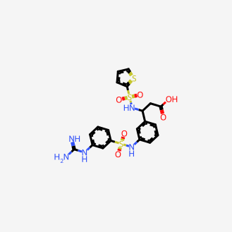 N=C(N)Nc1cccc(S(=O)(=O)Nc2cccc(C(CC(=O)O)NS(=O)(=O)c3cccs3)c2)c1